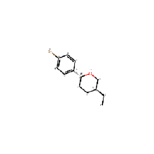 CC[C@H]1CC[C@H](c2ccc(Br)cc2)OC1